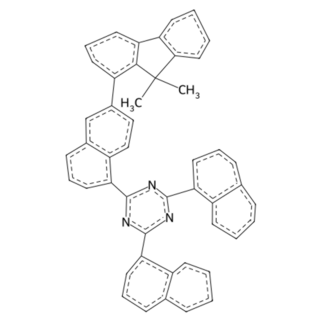 CC1(C)c2ccccc2-c2cccc(-c3ccc4c(-c5nc(-c6cccc7ccccc67)nc(-c6cccc7ccccc67)n5)cccc4c3)c21